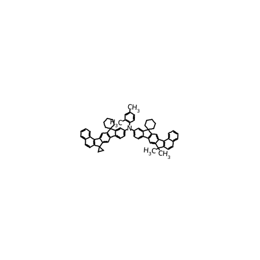 Cc1ccc(N(c2ccc3c(c2)C2(CCCCC2)c2cc4c(cc2-3)C(C)(C)c2ccc3ccccc3c2-4)c2ccc3c(c2)C2(CCCCC2)c2cc4c(cc2-3)C2(CC2)c2ccc3ccccc3c2-4)c(C)c1